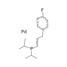 CC(C)P(C=CCc1ccc(F)cc1)C(C)C.[Pd]